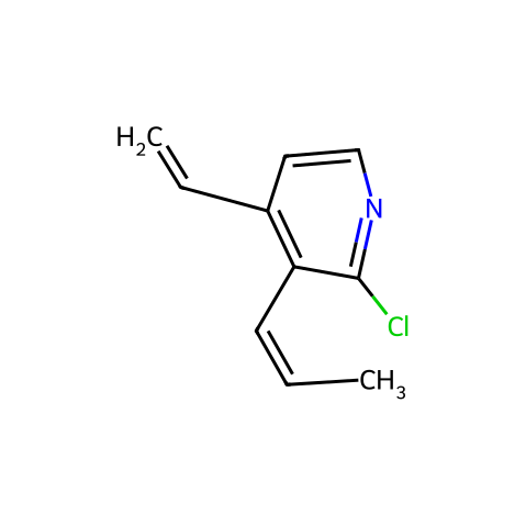 C=Cc1ccnc(Cl)c1/C=C\C